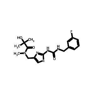 CN(Cc1csc(NC(=O)NCc2cccc(F)c2)n1)C(=O)C(C)(C)O